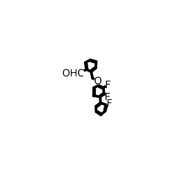 O=Cc1ccccc1COc1ccc(-c2ccccc2F)c(F)c1F